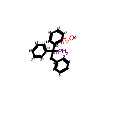 O.PC(Cc1ccccc1)(c1ccccc1)c1ccccc1